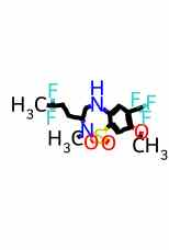 COc1cc2c(cc1C(F)(F)F)NCC(CCC(C)(F)F)N(C)S2(=O)=O